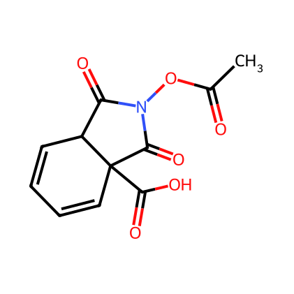 CC(=O)ON1C(=O)C2C=CC=CC2(C(=O)O)C1=O